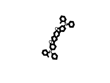 Cc1ccccc1N(c1ccccc1)c1ccc2c(c1)oc1cc3cc4oc5cc(N(c6ccccc6)c6ccccc6C)ccc5c4cc3cc12